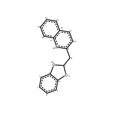 c1ccc2c(c1)OC(Cc1ccc3ccccc3n1)O2